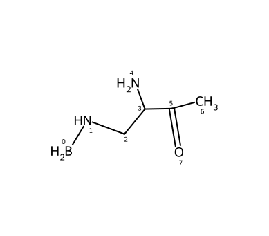 BNCC(N)C(C)=O